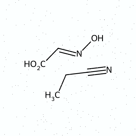 CCC#N.O=C(O)C=NO